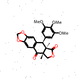 COc1cc([C@@H]2c3cc4c(cc3C(=O)[C@@]3(C)COC(=O)[C@]23C)OCO4)cc(OC)c1OC